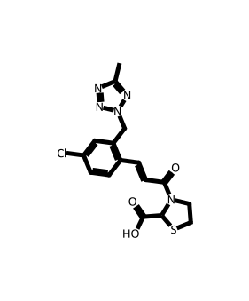 Cc1nnn(Cc2cc(Cl)ccc2/C=C/C(=O)N2CCSC2C(=O)O)n1